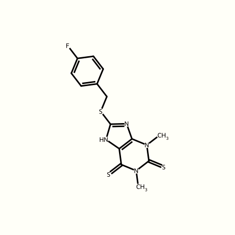 Cn1c(=S)c2[nH]c(SCc3ccc(F)cc3)nc2n(C)c1=S